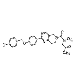 COC(=O)C[C@@H](C)C(=O)N1CCc2nc(-c3ccc(OCc4ccc(Cl)cc4)cc3)ncc2C1